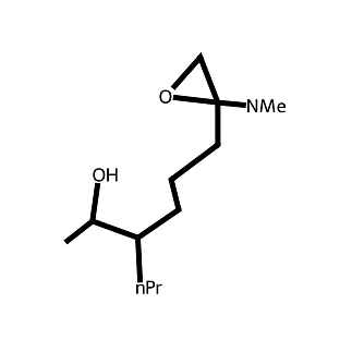 CCCC(CCCC1(NC)CO1)C(C)O